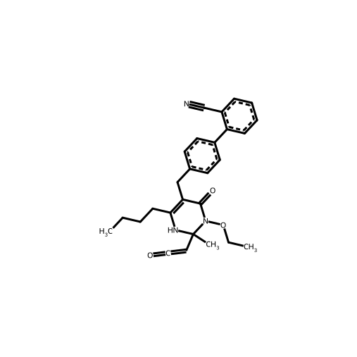 CCCCC1=C(Cc2ccc(-c3ccccc3C#N)cc2)C(=O)N(OCC)C(C)(C=C=O)N1